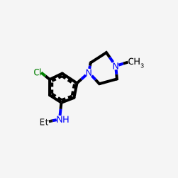 CCNc1cc(Cl)cc(N2CCN(C)CC2)c1